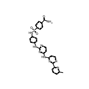 Cc1cccc(-c2nccc(Nc3ccnc(Nc4ccc(NS(=O)(=O)c5ccc(C(N)=O)cc5)cc4)n3)n2)n1